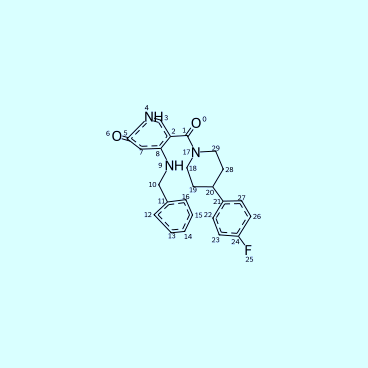 O=C(c1c[nH]c(=O)cc1NCc1ccccc1)N1CCC(c2ccc(F)cc2)CC1